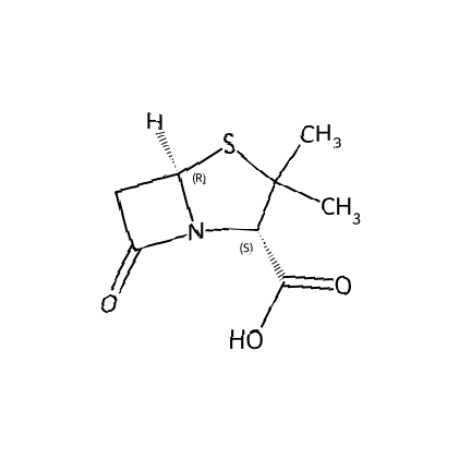 CC1(C)S[C@@H]2CC(=O)N2[C@H]1C(=O)O